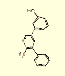 Nc1ncc(-c2cccc(O)c2)cc1-c1cncnc1